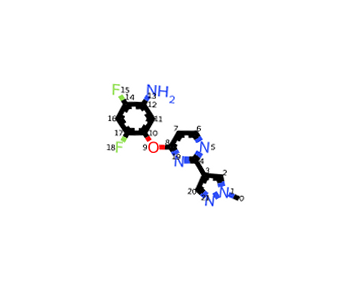 Cn1cc(-c2nccc(Oc3cc(N)c(F)cc3F)n2)cn1